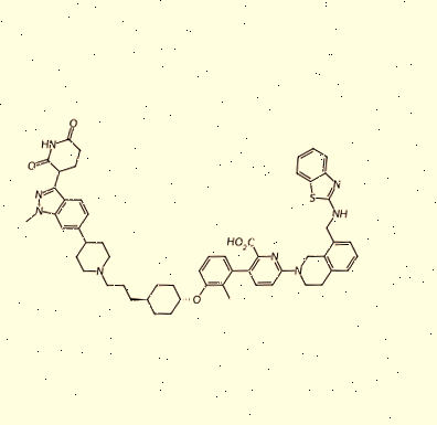 Cc1c(O[C@H]2CC[C@H](CCCN3CCC(c4ccc5c(C6CCC(=O)NC6=O)nn(C)c5c4)CC3)CC2)cccc1-c1ccc(N2CCc3cccc(CNc4nc5ccccc5s4)c3C2)nc1C(=O)O